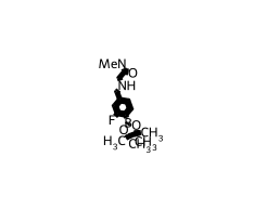 CNC(=O)CNCc1ccc(B2OC(C)(C)C(C)(C)O2)c(F)c1